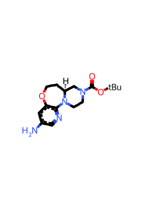 CC(C)(C)OC(=O)N1CCN2c3ncc(N)cc3OCC[C@H]2C1